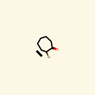 C=C.O=C1CCCCCC1Br